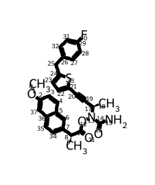 COc1ccc2cc([C@@H](C)C(=O)ON(C(N)=O)[C@H](C)C#Cc3ccc(Cc4ccc(F)cc4)s3)ccc2c1